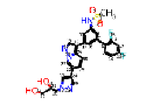 CS(=O)(=O)Nc1cc(-c2ccc(F)cc2F)cc(-c2cnn3cc(-c4cnn(CC(O)CO)c4)ccc23)c1